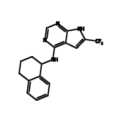 FC(F)(F)c1cc2c(NC3CCCc4ccccc43)ncnc2[nH]1